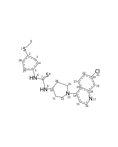 CSc1ccc(NC(=S)NC2CCN(c3ccnc4cc(Cl)ccc34)CC2)cc1